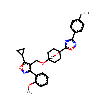 O=C(O)c1ccc(-c2noc(C34CCC(OCc5c(-c6ccccc6OC(F)(F)F)noc5C5CC5)(CC3)CO4)n2)cc1